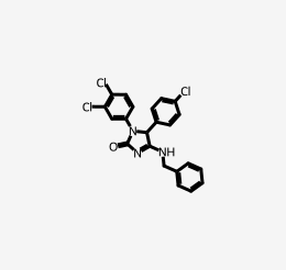 O=C1N=C(NCc2ccccc2)C(c2ccc(Cl)cc2)N1c1ccc(Cl)c(Cl)c1